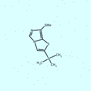 CSc1ncn2cc([Si](C)(C)C)sc12